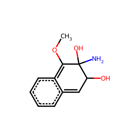 COC1=c2ccccc2=CC(O)C1(N)O